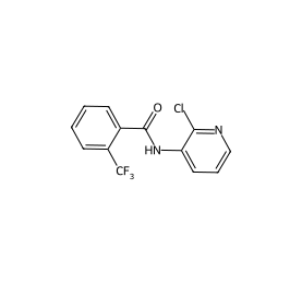 O=C(Nc1cccnc1Cl)c1ccccc1C(F)(F)F